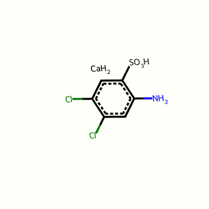 Nc1cc(Cl)c(Cl)cc1S(=O)(=O)O.[CaH2]